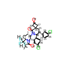 CC[C@@H](CN(CC(F)(F)F)C(C)=O)N1C(=O)C2(CC(=O)C2)C[C@H](c2cccc(Cl)c2)[C@H]1c1ccc(Cl)cc1